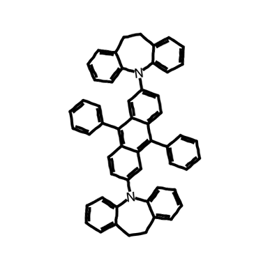 c1ccc(-c2c3ccc(N4c5ccccc5CCc5ccccc54)cc3c(-c3ccccc3)c3ccc(N4c5ccccc5CCc5ccccc54)cc23)cc1